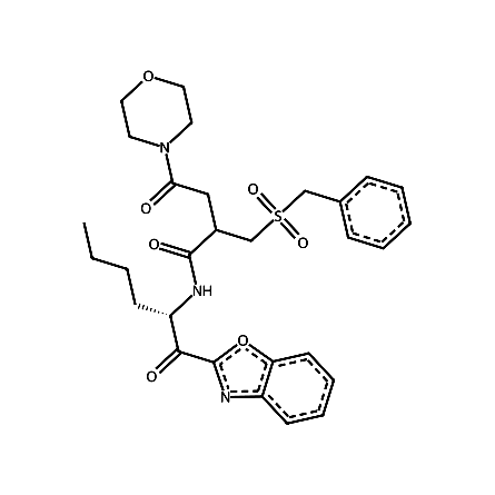 CCCC[C@H](NC(=O)C(CC(=O)N1CCOCC1)CS(=O)(=O)Cc1ccccc1)C(=O)c1nc2ccccc2o1